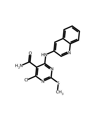 CSc1nc(Cl)c(C(N)=O)c(Nc2cnc3ccccc3c2)n1